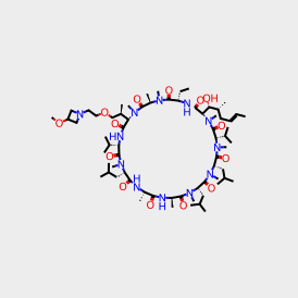 C/C=C/C[C@@H](C)[C@@H](O)[C@H]1C(=O)N[C@@H](CC)C(=O)N(C)[C@H](C)C(=O)N(C)[C@@H]([C@H](C)COCCN2CC(OC)C2)C(=O)N[C@@H](C(C)C)C(=O)N(C)[C@@H](CC(C)C)C(=O)N[C@@H](C)C(=O)N[C@H](C)C(=O)N(C)[C@@H](CC(C)C)C(=O)N(C)[C@@H](CC(C)C)C(=O)N(C)[C@@H](C(C)C)C(=O)N1C